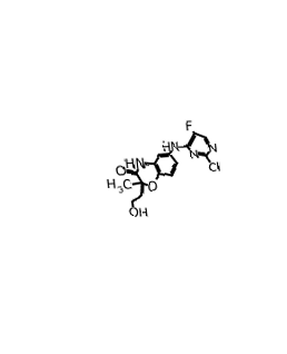 CC1(CCO)Oc2ccc(Nc3nc(Cl)ncc3F)cc2NC1=O